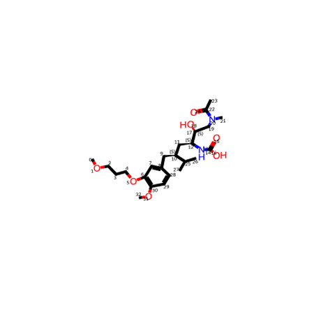 COCCCOc1cc(C[C@@H](C[C@H](NC(=O)O)[C@@H](O)CN(C)C(C)=O)C(C)C)ccc1OC